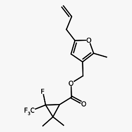 C=CCc1cc(COC(=O)C2C(C)(C)C2(F)C(F)(F)F)c(C)o1